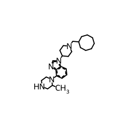 CC1CNCCN1c1cccc2c1ncn2C1CCN(CC2CCCCCCC2)CC1